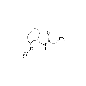 CCOC1CCCCC1NC(=O)CCl